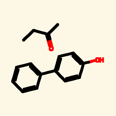 CCC(C)=O.Oc1ccc(-c2ccccc2)cc1